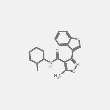 CC1CCCCC1NC(=O)c1c(-c2coc3ccccc23)noc1N